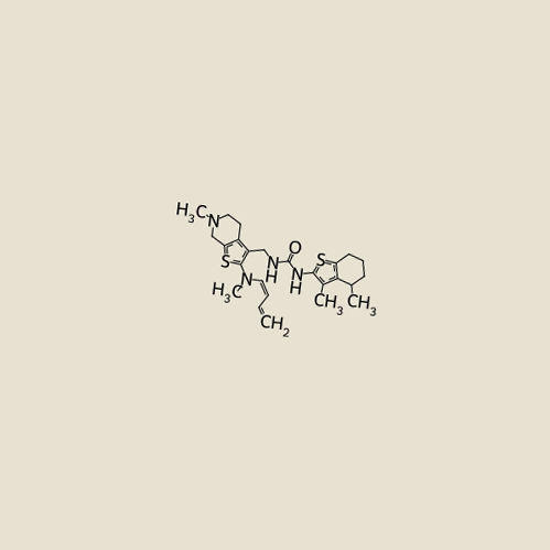 C=C/C=C\N(C)c1sc2c(c1CNC(=O)Nc1sc3c(c1C)C(C)CCC3)CCN(C)C2